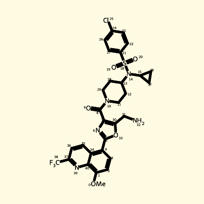 COc1ccc(-c2nc(C(=O)N3CCC(N(C4CC4)S(=O)(=O)c4ccc(Cl)cc4)CC3)c(CN)o2)c2ccc(C(F)(F)F)nc12